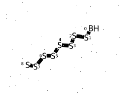 B=S=S=S=S=S=S=S=S